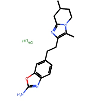 Cc1c(CCc2ccc3nc(N)oc3c2)nc2n1CCC(C)C2.Cl.Cl